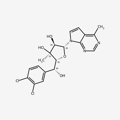 Cc1ncnc2c1ccn2[C@@H]1O[C@H]([C@H](O)c2ccc(Cl)c(Cl)c2)[C@@](C)(O)[C@H]1O